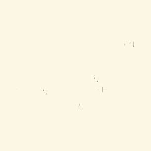 CN(c1ccc(C#N)cc1)c1ccc2c(c1)CN(CC1CC1)CC2.Cl